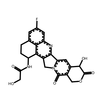 O=C(CO)NC1CCc2cc(F)cc3nc4c(c1c23)Cn1c-4cc2c(c1=O)COC(=O)C2O